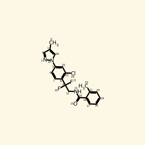 Cc1cnn(-c2ccc(C(F)(F)CNC(=O)c3ccccc3C)c(Cl)c2)c1